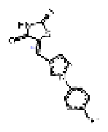 CC(C)c1ccc(-n2cc(/C=C3\SC(=S)NC3=O)cn2)cc1